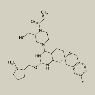 C=CC(=O)N1CCN(C2NC(OCC3CCCN3C)NC3C[C@@]4(CCC32)Cc2cc(F)ccc2CS4)CC1CC#N